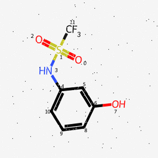 O=S(=O)(Nc1[c]c(O)ccc1)C(F)(F)F